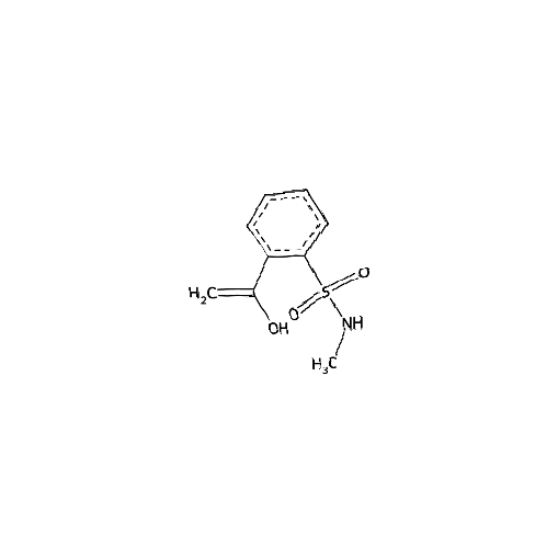 C=C(O)c1ccccc1S(=O)(=O)NC